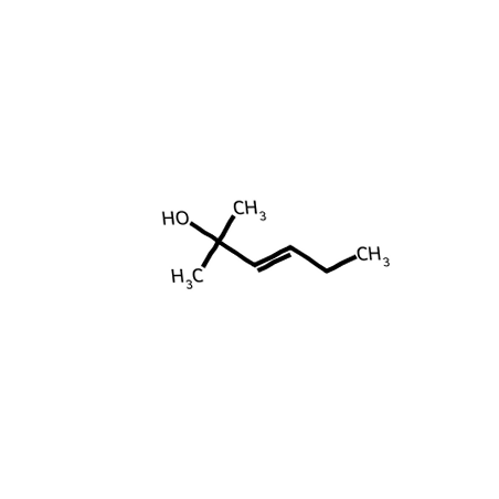 CCC=CC(C)(C)O